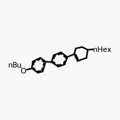 CCCCCCC1CC=C(c2ccc(-c3ccc(OCCCC)cc3)cc2)CC1